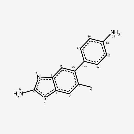 Cc1cc2sc(N)nc2cc1-c1ccc(N)cc1